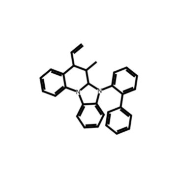 C=CC1c2ccccc2N2c3ccccc3N(c3ccccc3-c3ccccc3)C2C1C